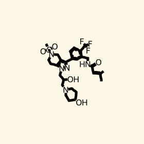 CC(C)=CC(=O)NCc1cc(-c2nn(CC(O)CN3CCC(O)CC3)c3c2CN(S(C)(=O)=O)CC3)ccc1C(F)(F)F